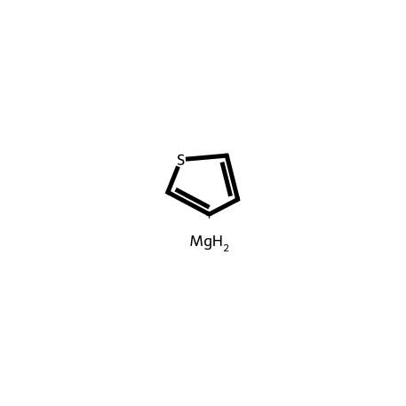 [MgH2].[c]1ccsc1